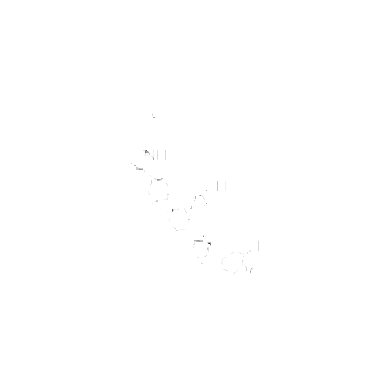 O=C(O)Oc1cc(-c2nc(-c3ccc(Cl)c(Cl)c3)cs2)ccc1-c1ccc(C(=O)NCC2CCOCC2)cc1